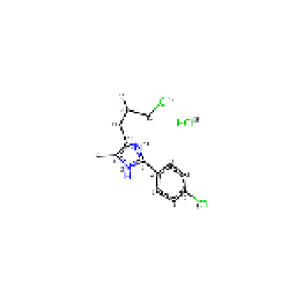 Cc1[nH]c(-c2ccc(Cl)cc2)nc1CC(C)CCl.Cl